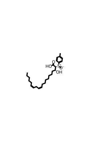 CCCCC/C=C\C/C=C\CCCCCCC[C@@H](O)[C@H](C(=O)O)[S+]([O-])c1ccc(C)cc1